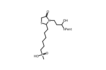 CCCCCC(O)CCN1C(=O)CSC1CCCCCCP(C)(=O)O